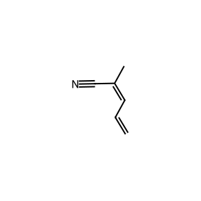 C=CC=C(C)C#N